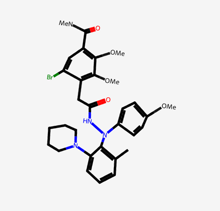 CNC(=O)c1cc(Br)c(CC(=O)NN(c2ccc(OC)cc2)c2c(C)cccc2N2CCCCC2)c(OC)c1OC